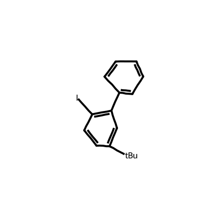 CC(C)(C)c1ccc(I)c(-c2ccccc2)c1